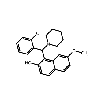 COc1ccc2ccc(O)c(C(c3ccccc3Cl)N3CCCCC3)c2c1